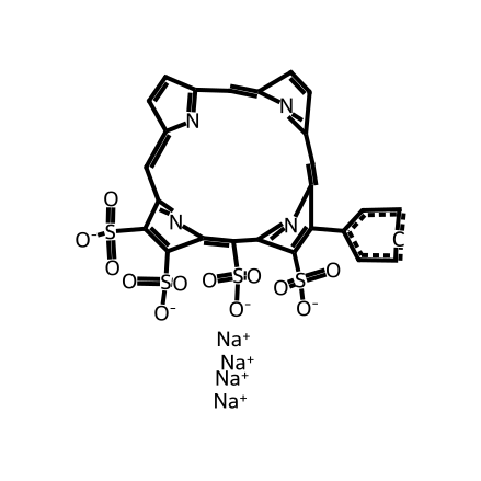 O=S(=O)([O-])C1=C2N=C(C=C3C=CC(=N3)C=C3C=CC(=N3)C=C3N=C1C(S(=O)(=O)[O-])=C3c1ccccc1)C(S(=O)(=O)[O-])=C2S(=O)(=O)[O-].[Na+].[Na+].[Na+].[Na+]